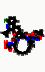 CC1(S(=O)(=O)NC(=O)[C@@]23C[C@H]2/C=C\CCCCC[C@H](NC(=O)O)C(=O)N2C[C@@]4(CCc5c(c(C6CC6)nc6c(F)cccc56)O4)C[C@H]2C(=O)N3)CC1